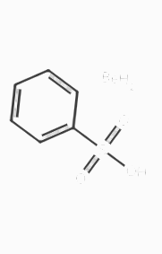 O=S(=O)(O)c1ccccc1.[BeH2]